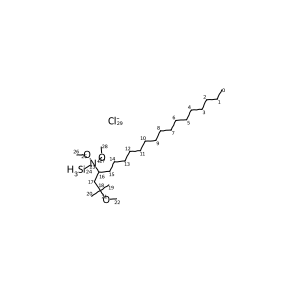 CCCCCCCCCCCCCCCCC(CC(C)(C)OC)[N+]([SiH3])(OC)OC.[Cl-]